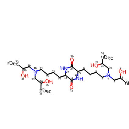 CCCCCCCCCCC(O)CN(CCCCC1NC(=O)C(CCCCN(CC(O)CCCCCCCCCC)CC(O)CCCCCCCCCC)NC1=O)CC(O)CCCCCCCCCC